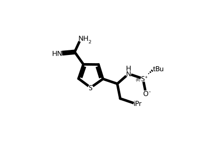 CC(C)CC(N[S@@+]([O-])C(C)(C)C)c1cc(C(=N)N)cs1